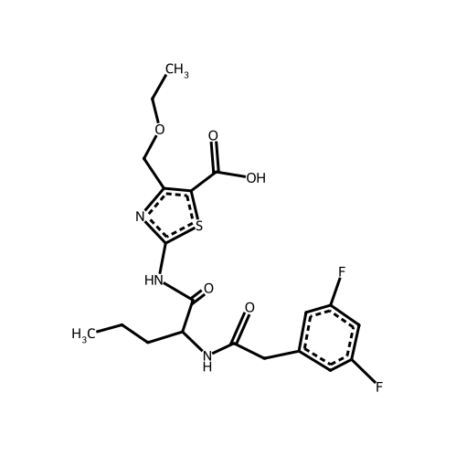 CCCC(NC(=O)Cc1cc(F)cc(F)c1)C(=O)Nc1nc(COCC)c(C(=O)O)s1